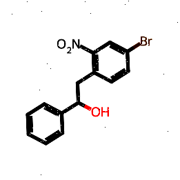 O=[N+]([O-])c1cc(Br)ccc1CC(O)c1ccccc1